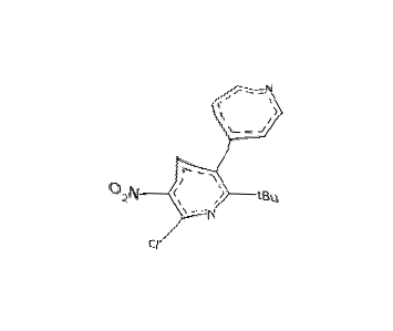 CC(C)(C)c1nc(Cl)c([N+](=O)[O-])cc1-c1ccncc1